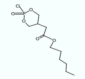 CCCCCCOC(=O)CC1COP(=O)(Cl)OC1